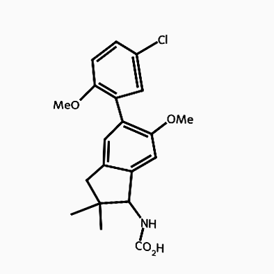 COc1ccc(Cl)cc1-c1cc2c(cc1OC)C(NC(=O)O)C(C)(C)C2